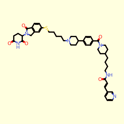 O=C(/C=C/c1cccnc1)NCCCCC1CCN(C(=O)c2ccc(C3CCN(CCCCCSc4ccc5c(c4)CN(C4CCC(=O)NC4=O)C5=O)CC3)cc2)CC1